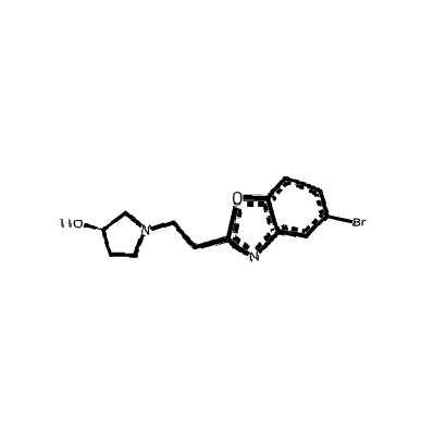 O[C@@H]1CCN(CCc2nc3cc(Br)ccc3o2)C1